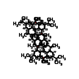 CC(C)c1cc(C(C)C)c(B(c2c(C(C)C)cc(C(C)C)cc2C(C)C)c2ccc3ccc4c(B(c5c(C(C)C)cc(C(C)C)cc5C(C)C)c5c(C(C)C)cc(C(C)C)cc5C(C)C)ccc5ccc2c3c54)c(C(C)C)c1